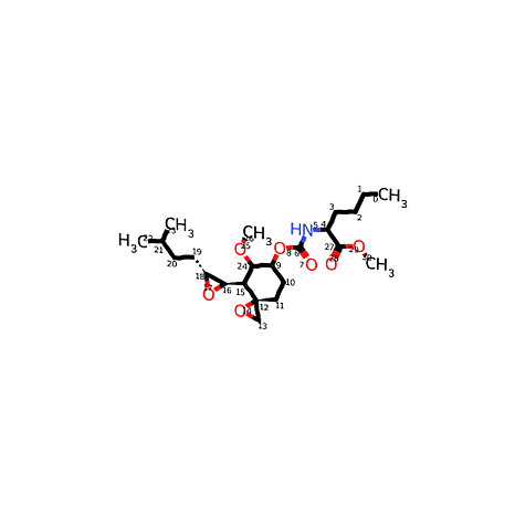 CCCCC(NC(=O)OC1CC[C@]2(CO2)C([C@H]2O[C@@H]2CCC(C)C)C1OC)C(=O)OC